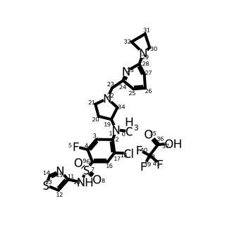 CN(c1cc(F)c(S(=O)(=O)Nc2cscn2)cc1Cl)C1CCN(Cc2cccc(N3CCC3)n2)C1.O=C(O)C(F)(F)F